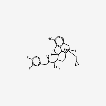 CN(C(=O)Cc1ccc(F)c(F)c1)[C@@H]1CC[C@@]2(O)[C@H]3Cc4ccc(O)c5c4[C@@]2(CCN3CC2CC2)[C@H]1O5